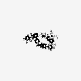 CNC(=O)COc1cc2cc(Nc3nc(N4CCC5(CC4)CC(C(=O)N4CCC(c6cccc7c6CN(C6CCC(=O)NC6=O)C7=O)CC4)C5)ncc3Cl)ccc2n(C(C)C)c1=O